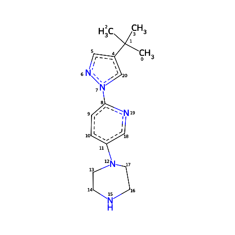 CC(C)(C)c1cnn(-c2ccc(N3CCNCC3)cn2)c1